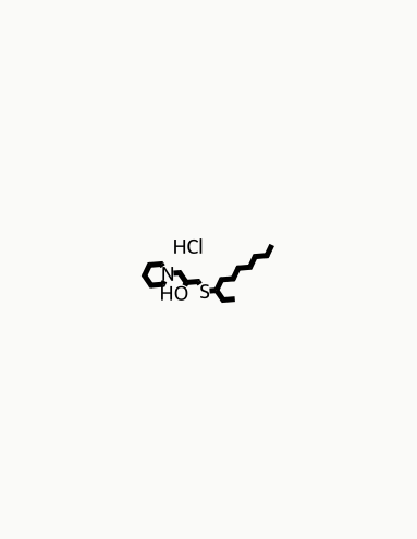 CCCCCCCC(CC)SCC(O)CN1CCCCC1.Cl